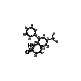 CC(C)c1cc(-c2ccccc2)c2[nH]c(=O)ccc2c1